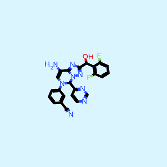 N#Cc1cccc(N2C=C(N)c3nc(C(O)c4c(F)cccc4F)nn3C2c2ccncn2)c1